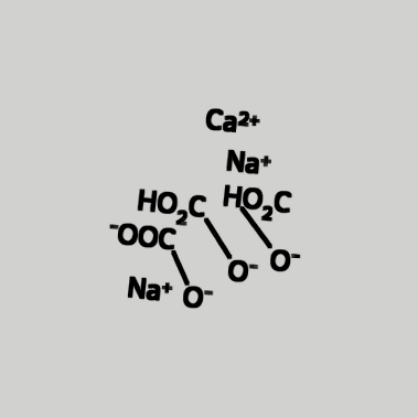 O=C([O-])O.O=C([O-])O.O=C([O-])[O-].[Ca+2].[Na+].[Na+]